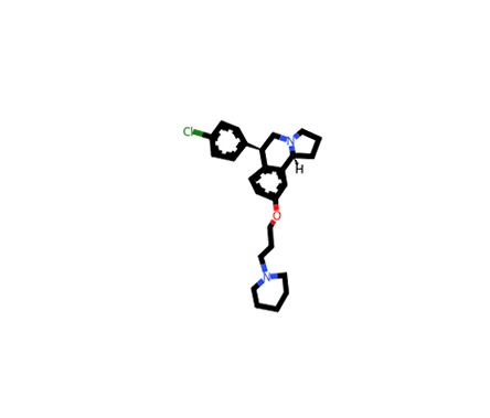 Clc1ccc([C@H]2CN3CCC[C@H]3c3cc(OCCCN4CCCCC4)ccc32)cc1